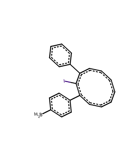 Bc1ccc(-c2cccccccc(-c3ccccc3)c2I)cc1